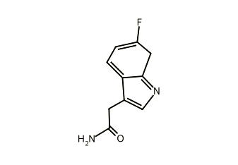 NC(=O)CC1=CN=C2CC(F)=CC=C12